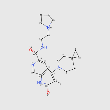 Cc1c(N2CCC3(CC2)CC3)c2cc(C(=O)NCCN3CCCC3)ncc2[nH]c1=O